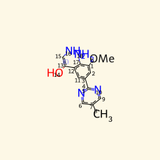 COc1cc(-c2ncc(C)cn2)cc(/C(O)=C\N)c1N